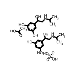 CC(=O)O.CC(C)NCC(O)c1cc(O)cc(O)c1.CC(C)NCC(O)c1cc(O)cc(O)c1.O=S(=O)(O)O